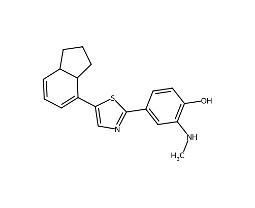 CNc1cc(-c2ncc(C3=CC=CC4CCCC34)s2)ccc1O